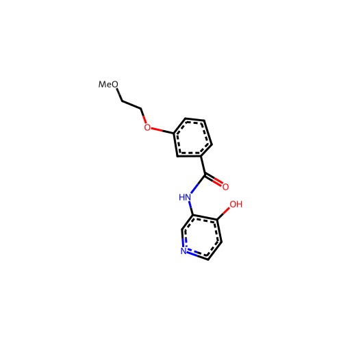 COCCOc1cccc(C(=O)Nc2cnccc2O)c1